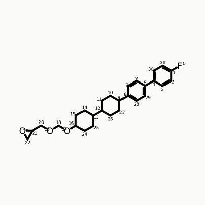 Fc1ccc(-c2ccc(C3CCC(C4CCC(OCOCC5CO5)CC4)CC3)cc2)cc1